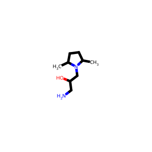 CC1CCC(C)N1CC(O)CN